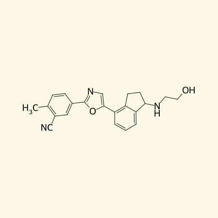 Cc1ccc(-c2ncc(-c3cccc4c3CCC4NCCO)o2)cc1C#N